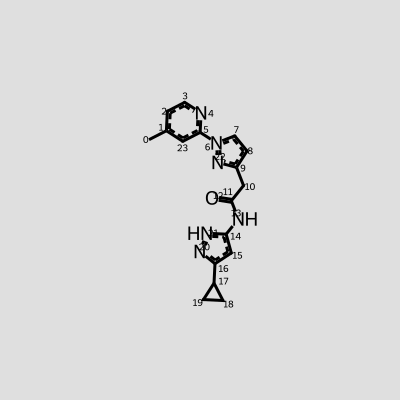 Cc1ccnc(-n2ccc(CC(=O)Nc3cc(C4CC4)n[nH]3)n2)c1